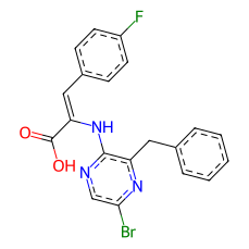 O=C(O)/C(=C/c1ccc(F)cc1)Nc1ncc(Br)nc1Cc1ccccc1